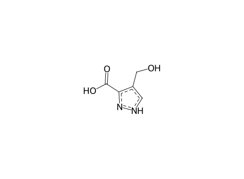 O=C(O)c1n[nH]cc1CO